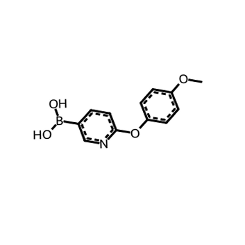 COc1ccc(Oc2ccc(B(O)O)cn2)cc1